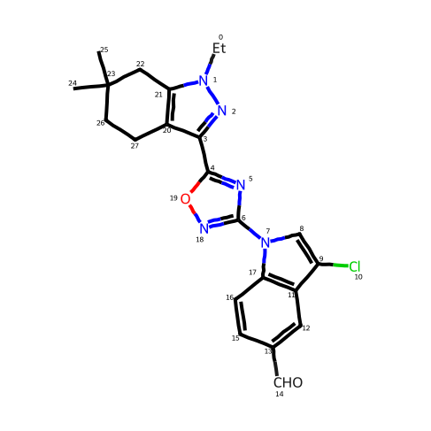 CCn1nc(-c2nc(-n3cc(Cl)c4cc(C=O)ccc43)no2)c2c1CC(C)(C)CC2